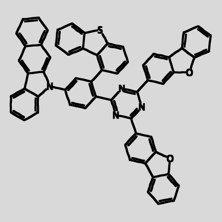 c1ccc2cc3c(cc2c1)c1ccccc1n3-c1ccc(-c2nc(-c3ccc4c(c3)oc3ccccc34)nc(-c3ccc4c(c3)oc3ccccc34)n2)c(-c2cccc3sc4ccccc4c23)c1